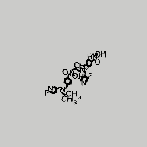 CC(C)CN(Cc1ccc(C(=O)N(O)CC(C)CN(Cc2ccc(C(=O)NO)cc2)Cc2ccncc2F)cc1)Cc1ccc(F)nc1